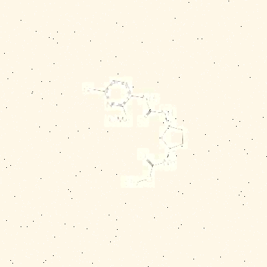 COc1nc(Br)ccc1NC(=O)N[C@H]1CC[C@@H](NC(=O)OC(C)(C)C)C1